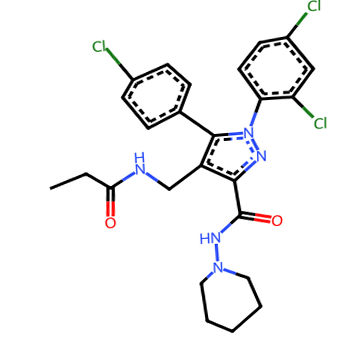 CCC(=O)NCc1c(C(=O)NN2CCCCC2)nn(-c2ccc(Cl)cc2Cl)c1-c1ccc(Cl)cc1